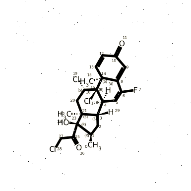 C[C@@H]1C[C@H]2[C@@H]3C=C(F)C4=CC(=O)C=C[C@]4(C)[C@@]3(Cl)[C@@H](Cl)C[C@]2(C)[C@@]1(O)C(=O)CCl